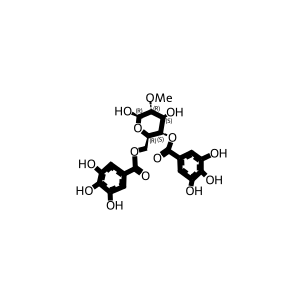 CO[C@@H]1[C@@H](O)[C@H](OC(=O)c2cc(O)c(O)c(O)c2)[C@@H](COC(=O)c2cc(O)c(O)c(O)c2)O[C@H]1O